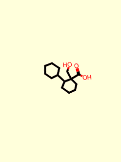 O=C(O)C1(CO)CCCCC1C1CCCCC1